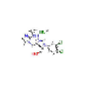 CNc1nccn1Cc1ncn(-c2ccc(Cl)c(Cl)c2)c1CO.Cl